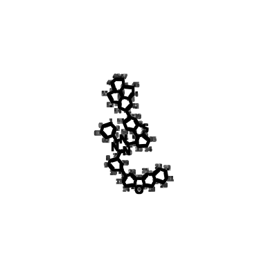 c1ccc(-c2nc(-c3cccc(-c4ccc5oc6cc7ccccc7cc6c5c4)c3)nc(-c3cccc4sc5cc(-c6cc7ccc8cccc9ccc(c6)c7c89)ccc5c34)n2)cc1